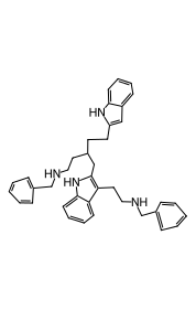 c1ccc(CNCCc2c(CC(CCNCc3ccccc3)CCc3cc4ccccc4[nH]3)[nH]c3ccccc23)cc1